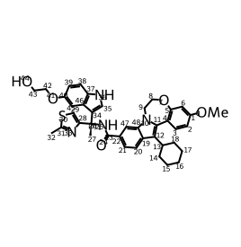 COc1ccc2c(c1)OCCn1c-2c(C2CCCCC2)c2ccc(C(=O)N[C@](C)(c3csc(C)n3)c3c[nH]c4ccc(OCCO)cc34)cc21